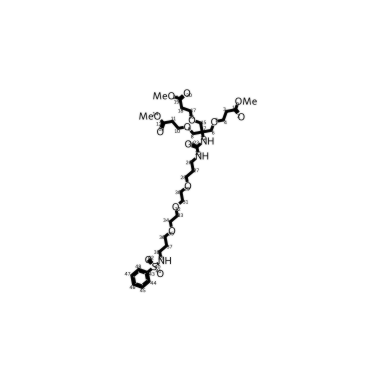 COC(=O)CCOCC(COCCC(=O)OC)(COCCC(=O)OC)NC(=O)NCCCOCCOCCOCCCNS(=O)(=O)c1ccccc1